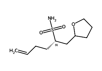 C=CCC[C@@H](CC1CCCO1)S(N)(=O)=O